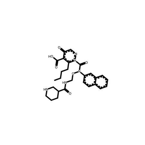 CCCCc1c(C(=O)O)c(=O)cnn1C(=O)N(OCNC(=O)C1CCCNC1)c1ccc2ccccc2c1